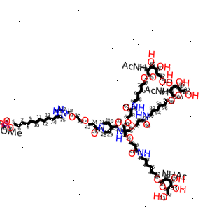 COP(=O)(O)OCCCCCCCCCCc1cn(COCCOCCC(=O)N2CCC(C(=O)NC(COCCC(=O)NCCCCCCOC3OC(CO)C(O)C(O)C3NC(C)=O)(COCCC(=O)NCCCCCCOC3OC(CO)C(O)C(O)C3NC(C)=O)COCCC(=O)NCCCCCCOC3OC(CO)C(O)C(O)C3NC(C)=O)CC2)nn1